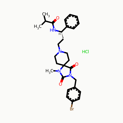 CC(C)C(=O)N[C@@H](CCN1CCC2(CC1)C(=O)N(Cc1ccc(Br)cc1)C(=O)N2C)c1ccccc1.Cl